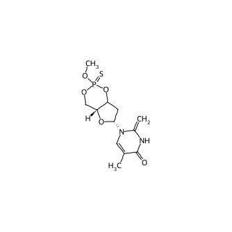 C=C1NC(=O)C(C)=CN1[C@H]1CC2OP(=S)(OC)OC[C@H]2O1